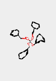 c1ccc(CO[Si](OCc2ccccc2)(OCc2ccccc2)Oc2ccccc2)cc1